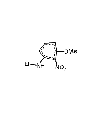 CCNc1cccc(OC)c1[N+](=O)[O-]